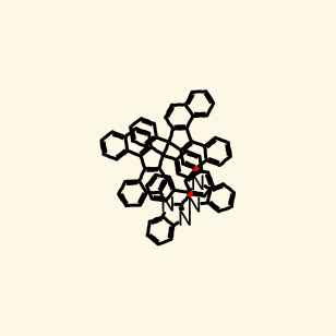 c1ccc(-c2nc3ccccc3n2-c2cc3c(c4ccccc24)-c2c(ccc4ccccc24)C3(c2ccccc2)C2(c3ccccc3)c3ccc4ccccc4c3-c3c2cc(-n2c(-c4ccccc4)nc4ccccc42)c2ccccc32)cc1